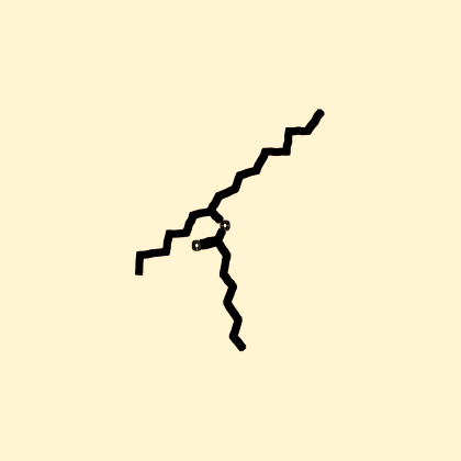 CCCCCCCCCC(CCCCCC)OC(=O)CCCCCCC